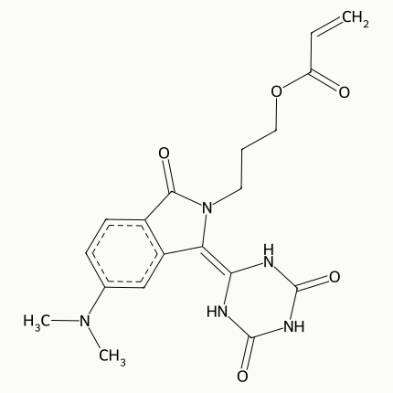 C=CC(=O)OCCCN1C(=O)c2ccc(N(C)C)cc2C1=C1NC(=O)NC(=O)N1